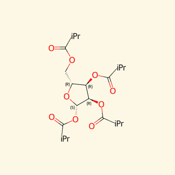 CC(C)C(=O)OC[C@H]1O[C@@H](OC(=O)C(C)C)[C@H](OC(=O)C(C)C)[C@@H]1OC(=O)C(C)C